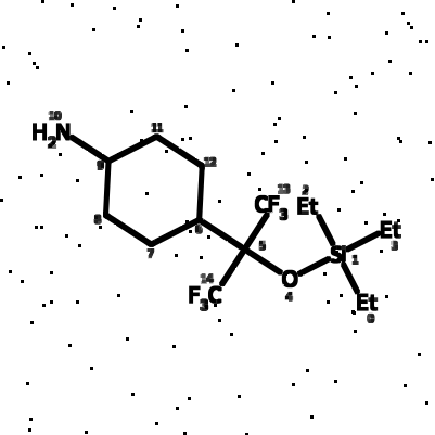 CC[Si](CC)(CC)OC(C1CCC(N)CC1)(C(F)(F)F)C(F)(F)F